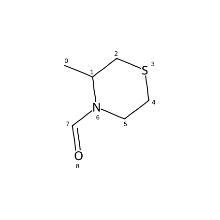 CC1CSCCN1C=O